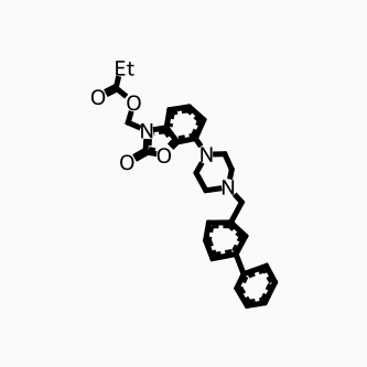 CCC(=O)OCn1c(=O)oc2c(N3CCN(Cc4cccc(-c5ccccc5)c4)CC3)cccc21